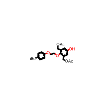 CCC(C)c1ccc(OCCOc2c(COC(C)=O)cc(O)cc2COC(C)=O)cc1